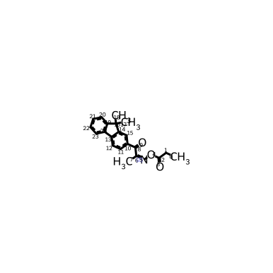 CCC(=O)O/N=C(/C)C(=O)c1ccc2c(c1)C(C)(C)c1ccccc1-2